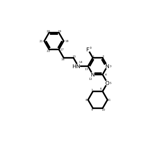 Fc1cnc(OC2CCCCC2)nc1NCCc1ccccc1